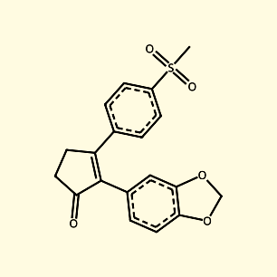 CS(=O)(=O)c1ccc(C2=C(c3ccc4c(c3)OCO4)C(=O)CC2)cc1